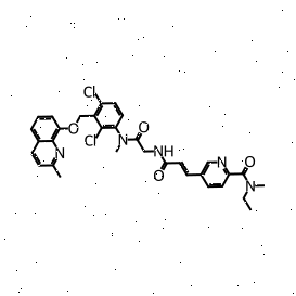 CCN(C)C(=O)c1ccc(/C=C/C(=O)NCC(=O)N(C)c2ccc(Cl)c(COc3cccc4ccc(C)nc34)c2Cl)cn1